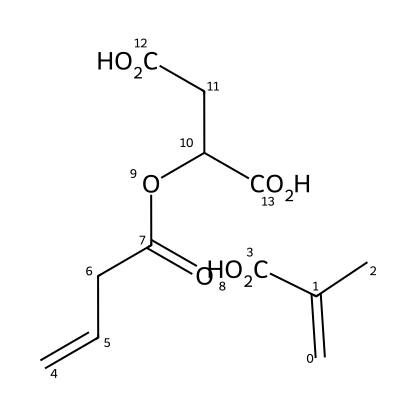 C=C(C)C(=O)O.C=CCC(=O)OC(CC(=O)O)C(=O)O